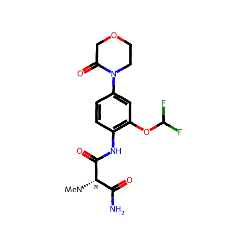 CN[C@@H](C(N)=O)C(=O)Nc1ccc(N2CCOCC2=O)cc1OC(F)F